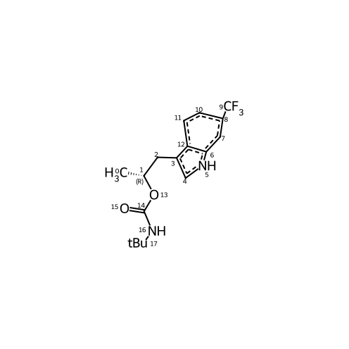 C[C@H](Cc1c[nH]c2cc(C(F)(F)F)ccc12)OC(=O)NC(C)(C)C